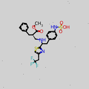 COC(=O)[C@@H](CNC(Cc1ccc(NS(=O)(=O)O)cc1)c1nc(CC(F)(F)F)cs1)Cc1ccccc1